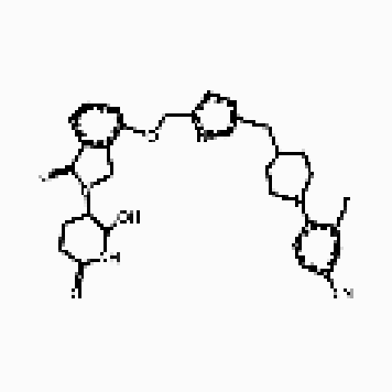 N#Cc1ccc(N2CCC(Sc3ccc(COc4cccc5c4CN(C4CCC(=O)NC4O)C5=O)nc3)CC2)c(F)c1